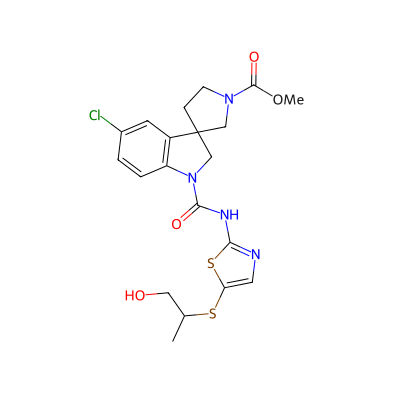 COC(=O)N1CCC2(C1)CN(C(=O)Nc1ncc(SC(C)CO)s1)c1ccc(Cl)cc12